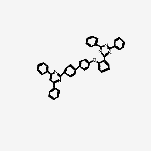 c1ccc(-c2cc(-c3ccccc3)nc(-c3ccc(-c4ccc(Oc5ccccc5-c5nc(-c6ccccc6)nc(-c6ccccc6)n5)cc4)cc3)n2)cc1